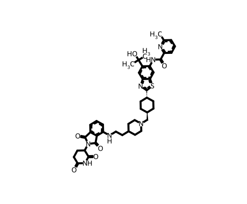 Cc1cccc(C(=O)Nc2cc3sc([C@H]4CC[C@H](CN5CCC(CCNc6cccc7c6C(=O)N(C6CCC(=O)NC6=O)C7=O)CC5)CC4)nc3cc2C(C)(C)O)n1